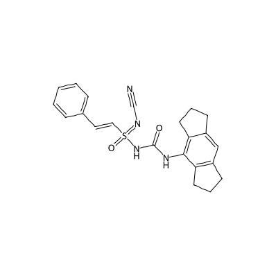 N#CN=S(=O)(/C=C/c1ccccc1)NC(=O)Nc1c2c(cc3c1CCC3)CCC2